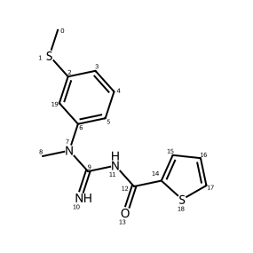 CSc1cccc(N(C)C(=N)NC(=O)c2cccs2)c1